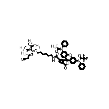 CC(=O)N(c1ccccc1)c1ccc2c(c1)Oc1cc(N(C(=O)C(F)(F)F)c3ccccc3)ccc1C21OC(=O)c2ccc(C(=O)NCCCCCCOP(OCCC#N)N(C(C)C)C(C)C)cc21